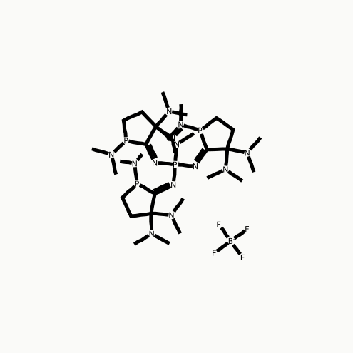 CN(C)P1CCC(N(C)C)(N(C)C)C1=N[P+](N=C1P(N(C)C)CCC1(N(C)C)N(C)C)(N=C1P(N(C)C)CCC1(N(C)C)N(C)C)N(C)C.F[B-](F)(F)F